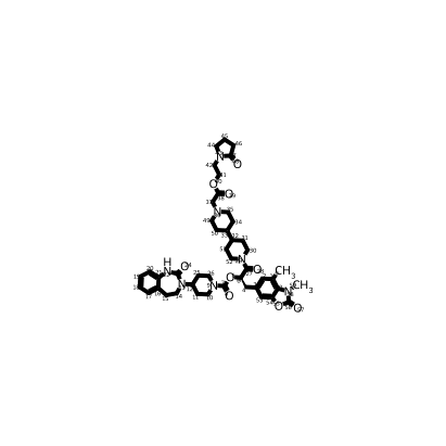 Cc1cc(C[C@@H](OC(=O)N2CCC(N3CCc4ccccc4NC3=O)CC2)C(=O)N2CCC(C3CCN(CC(=O)OCCN4CCCC4=O)CC3)CC2)cc2oc(=O)n(C)c12